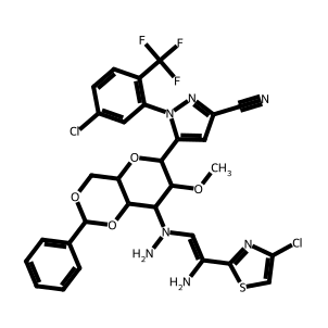 COC1C(c2cc(C#N)nn2-c2cc(Cl)ccc2C(F)(F)F)OC2COC(c3ccccc3)OC2C1N(N)/C=C(\N)c1nc(Cl)cs1